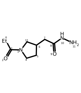 CCC(=O)N1CCC(CC(=O)NN)C1